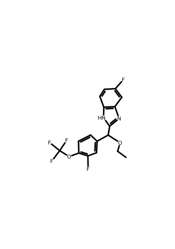 CCOC(c1ccc(OC(F)(F)F)c(F)c1)c1nc2cc(F)ccc2[nH]1